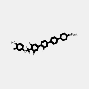 CCCCCC1CCC(c2ccc(-c3ccc(-c4cc(F)c(C(F)(F)Oc5ccc(C#N)c(F)c5)c(F)c4)c(F)c3)cc2)CC1